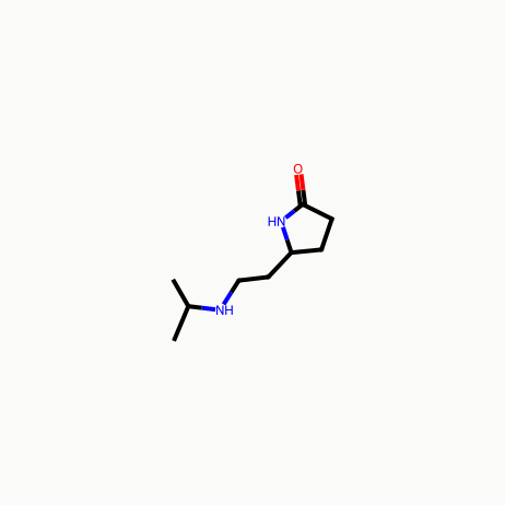 CC(C)NCCC1CCC(=O)N1